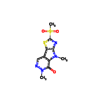 Cn1ncc2c3sc(S(C)(=O)=O)nc3n(C)c2c1=O